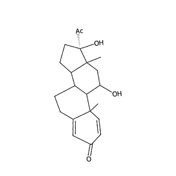 CC(=O)[C@@]1(O)CCC2C3CCC4=CC(=O)C=CC4(C)C3C(O)CC21C